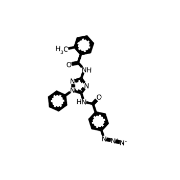 Cc1ccccc1C(=O)Nc1nc(NC(=O)c2ccc(N=[N+]=[N-])cc2)n(-c2ccccc2)n1